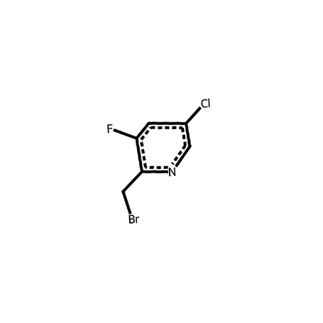 Fc1cc(Cl)cnc1CBr